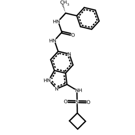 C[C@@H](NC(=O)Nc1cc2[nH]nc(NS(=O)(=O)C3CCC3)c2cn1)c1ccccc1